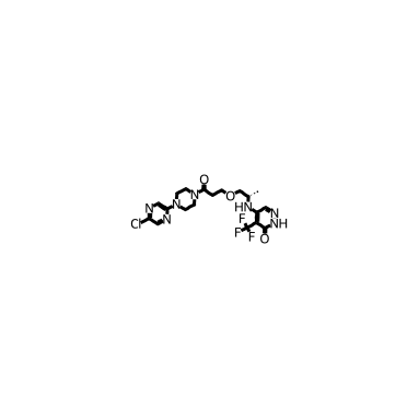 C[C@@H](COCCC(=O)N1CCN(c2cnc(Cl)cn2)CC1)Nc1cn[nH]c(=O)c1C(F)(F)F